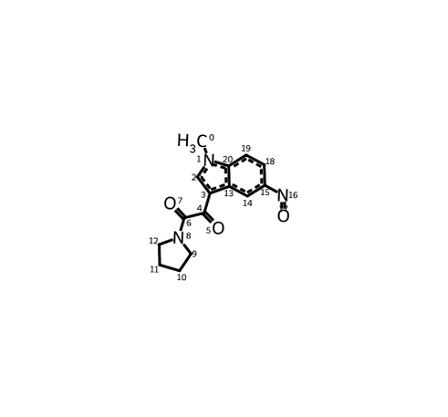 Cn1cc(C(=O)C(=O)N2CCCC2)c2cc(N=O)ccc21